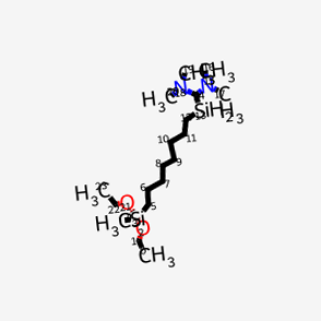 CCO[Si](C)(CCCCCCCC[SiH2]C(N(C)C)N(C)C)OCC